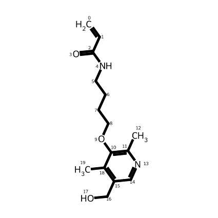 C=CC(=O)NCCCCOc1c(C)ncc(CO)c1C